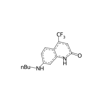 CCCCNc1ccc2c(C(F)(F)F)cc(=O)[nH]c2c1